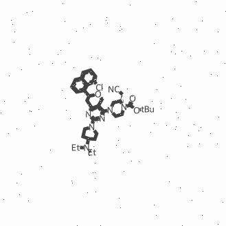 CCN(CC)C1CCN(c2nc3c(c(N4CCN(C(=O)OC(C)(C)C)[C@@H](CC#N)C4)n2)COC(c2cccc4cccc(Cl)c24)C3)CC1